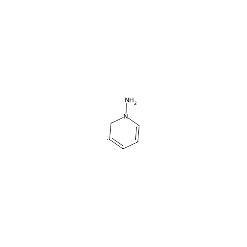 NN1C=CC=[C]C1